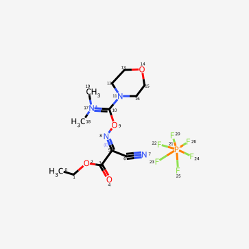 CCOC(=O)/C(C#N)=N/OC(N1CCOCC1)=[N+](C)C.F[P-](F)(F)(F)(F)F